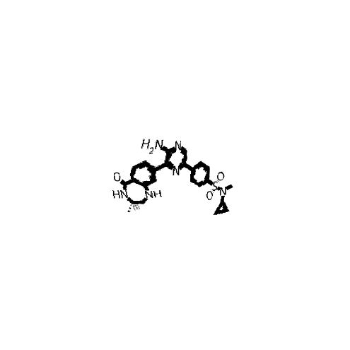 C[C@H]1CNc2cc(-c3nc(-c4ccc(S(=O)(=O)N(C)C5CC5)cc4)cnc3N)ccc2C(=O)N1